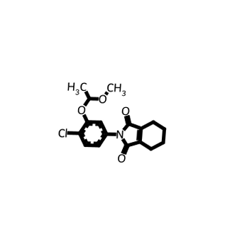 COC(C)Oc1cc(N2C(=O)C3=C(CCCC3)C2=O)ccc1Cl